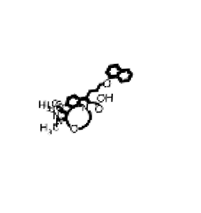 COc1ccc2c(CCCOc3cccc4ccccc34)c(C(=O)O)n3c2c1-c1c(C)nn(C)c1COCCCC3